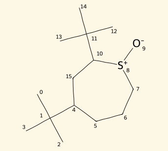 CC(C)(C)C1CCC[S+]([O-])C(C(C)(C)C)C1